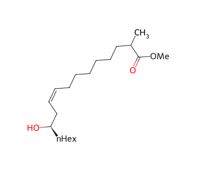 CCCCCC[C@@H](O)C/C=C\CCCCCCC(C)C(=O)OC